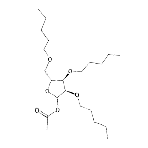 CCCCCOC[C@H]1OC(OC(C)=O)[C@H](OCCCCC)[C@@H]1OCCCCC